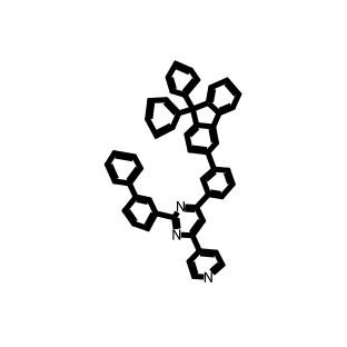 c1ccc(-c2cccc(-c3nc(-c4ccncc4)cc(-c4cccc(-c5ccc6c(c5)-c5ccccc5C6(c5ccccc5)c5ccccc5)c4)n3)c2)cc1